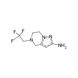 Nc1cc2n(n1)CCN(CC(F)(F)F)C2